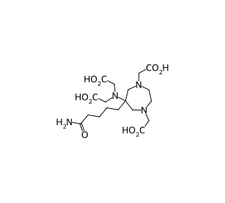 NC(=O)CCCCC1(N(CC(=O)O)CC(=O)O)CN(CC(=O)O)CCN(CC(=O)O)C1